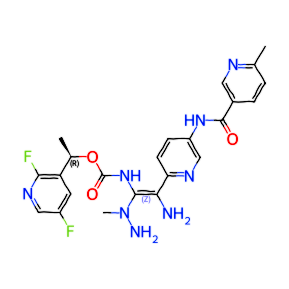 Cc1ccc(C(=O)Nc2ccc(/C(N)=C(\NC(=O)O[C@H](C)c3cc(F)cnc3F)N(C)N)nc2)cn1